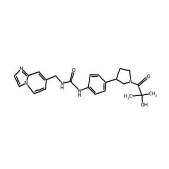 CC(C)(O)C(=O)N1CCC(c2ccc(NC(=O)NCc3ccn4ccnc4c3)cc2)C1